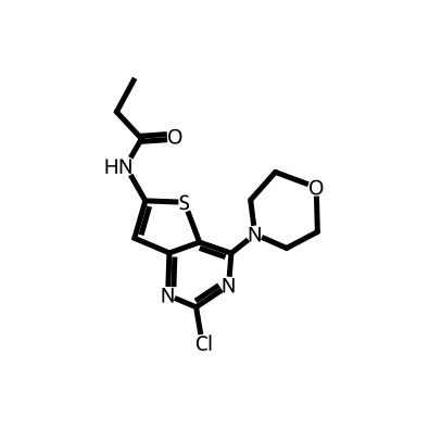 CCC(=O)Nc1cc2nc(Cl)nc(N3CCOCC3)c2s1